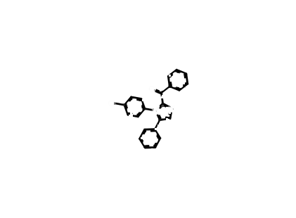 O=C(c1ccccc1)c1ncc(-c2ccccc2)n1-c1ccc(Cl)cc1